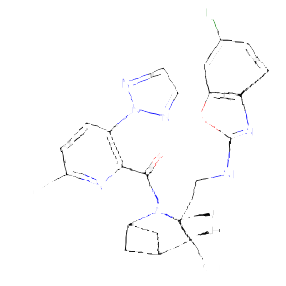 Cc1ccc(-n2nccn2)c(C(=O)N2C3CC(C3)[C@@H](C)[C@H]2CNc2nc3ccc(F)cc3o2)n1